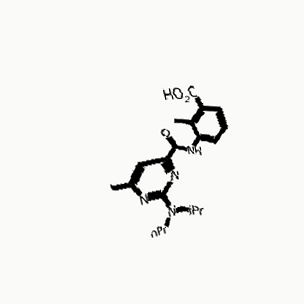 CCCN(c1nc(C)cc(C(=O)Nc2cccc(C(=O)O)c2C)n1)C(C)C